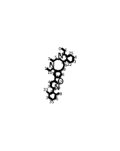 C=CC1=NC2CC(=C)/N=C(/C=C)c3cc4c(cc3CCC2c2ccccc21)oc1nc(-c2c(C)cccc2C)ccc14